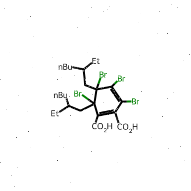 CCCCC(CC)CC1(Br)C(Br)=C(Br)C(C(=O)O)=C(C(=O)O)C1(Br)CC(CC)CCCC